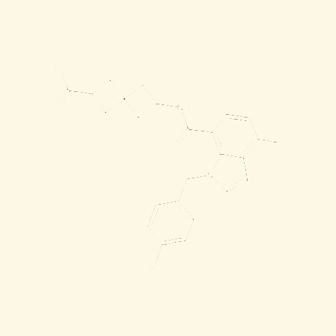 O=C(NC1CC2(C1)CC(C(=O)O)C2)c1ccc(Cl)c2ccn(Cc3ccc(Br)cc3)c12